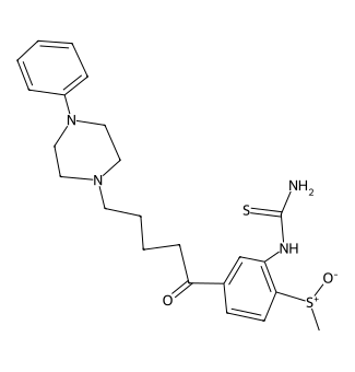 C[S+]([O-])c1ccc(C(=O)CCCCN2CCN(c3ccccc3)CC2)cc1NC(N)=S